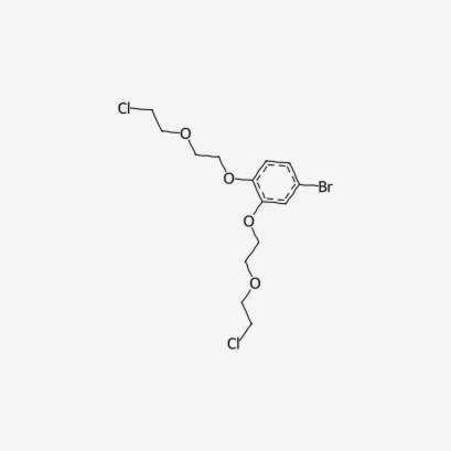 ClCCOCCOc1ccc(Br)cc1OCCOCCCl